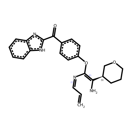 C=C/C=N\C(Oc1ccc(C(=O)c2nc3ccccc3[nH]2)cc1)=C(/N)[C@@H]1CCCOC1